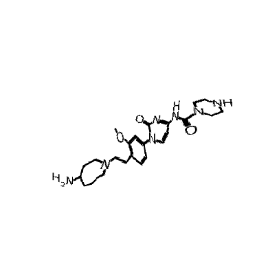 COc1cc(-n2ccc(NC(=O)N3CCNCC3)nc2=O)ccc1CCN1CCCC(N)CC1